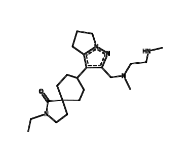 CCN1CCC2(CCC(c3c(CN(C)CCNC)nn4c3CCC4)CC2)C1=O